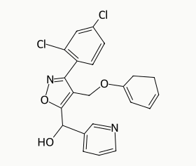 OC(c1cccnc1)c1onc(-c2ccc(Cl)cc2Cl)c1COC1=CC=CCC1